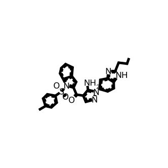 CCCc1nc2cc(-n3ncc(C(=O)c4cc5ccccc5n4S(=O)(=O)c4ccc(C)cc4)c3N)ccc2[nH]1